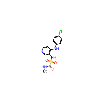 CCNC(=O)S(=O)(=O)Nc1cnccc1Nc1ccc(Cl)cc1